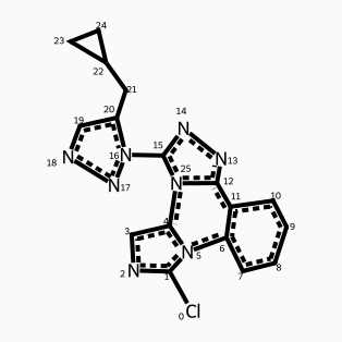 Clc1ncc2n1c1ccccc1c1nnc(-n3nncc3CC3CC3)n12